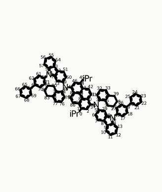 CC(C)c1cc(N(c2ccc3c4ccccc4n(-c4ccc(-c5ccccc5)cc4)c3c2)c2cccc3c2CCCC3)c2ccc3c(C(C)C)cc(N(c4ccc5c6ccccc6n(-c6ccc(-c7ccccc7)cc6)c5c4)c4cccc5c4CCCC5)c4ccc1c2c34